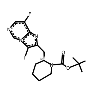 CC(C)(C)OC(=O)N1CCCC[C@H]1Cc1nc2c(F)cncn2c1I